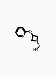 SSN1CC(Oc2ccccn2)C1